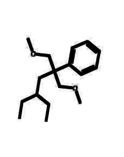 CCC(CC)CC(COC)(COC)c1ccccc1